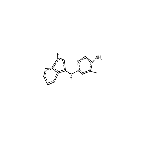 Cc1cc(Nc2c[nH]c3ccccc23)ncc1N